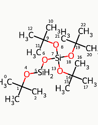 CC(C)(C)O[SiH2]O[Si](OC(C)(C)C)(OC(C)(C)C)OC(C)(C)C